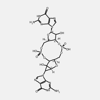 Nc1nc2c(ncn2C2[C@@H]3O[C@@H]4COP(=O)(O)O[C@@H]5C(O)[C@H](n6cnc7c(=O)[nH]c(N)nc76)O[C@@H]5COP(=O)(O)OC4C23O)c(=O)[nH]1